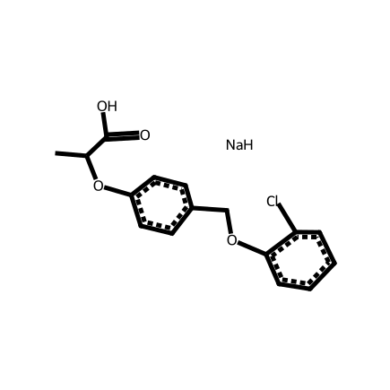 CC(Oc1ccc(COc2ccccc2Cl)cc1)C(=O)O.[NaH]